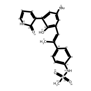 CC(=Cc1cc(C(C)(C)C)cc(-c2ccc[nH]c2=O)c1O)c1ccc(NS(C)(=O)=O)cc1